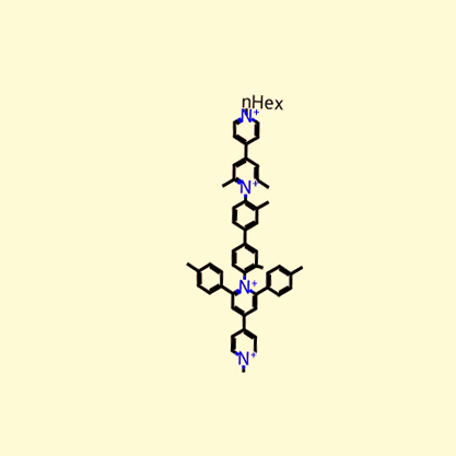 CCCCCC[n+]1ccc(-c2cc(C)[n+](-c3ccc(-c4ccc(-[n+]5c(-c6ccc(C)cc6)cc(-c6cc[n+](C)cc6)cc5-c5ccc(C)cc5)c(C)c4)cc3C)c(C)c2)cc1